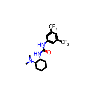 CN(C)[C@@H]1CCCC[C@H]1NC(=O)Nc1cc(C(F)(F)F)cc(C(F)(F)F)c1